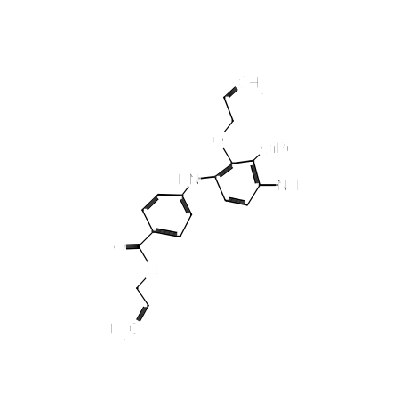 C=CCOC(=O)c1ccc(Nc2ccc(N)c(OCC(C)C)c2OCC=C)cc1